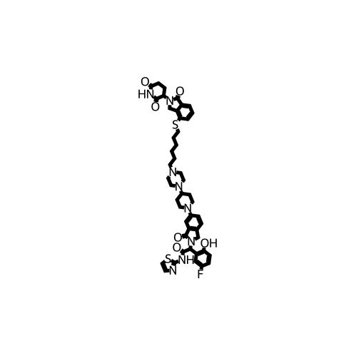 O=C1CCC(N2Cc3c(SCCCCCCN4CCN(C5CCN(c6ccc7c(c6)C(=O)N(C(C(=O)Nc6nccs6)c6cc(F)ccc6O)C7)CC5)CC4)cccc3C2=O)C(=O)N1